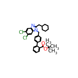 CC(C)(C)OC(=O)c1ccccc1-c1ccc(Cn2c(CC3CCCCC3)nc3cc(Cl)c(Cl)cc32)cc1